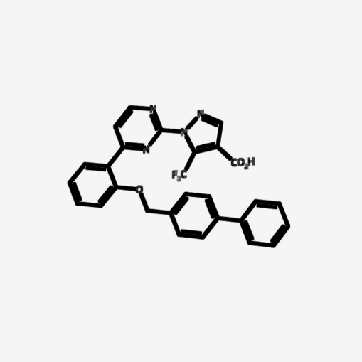 O=C(O)c1cnn(-c2nccc(-c3ccccc3OCc3ccc(-c4ccccc4)cc3)n2)c1C(F)(F)F